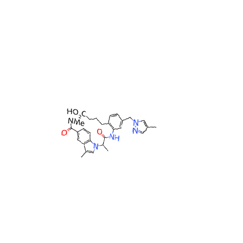 CNC(=O)c1ccc2c(c1)c(C)cn2C(C)C(=O)Nc1cc(Cn2cc(C)cn2)ccc1CCCC(=O)O